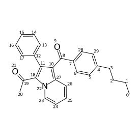 CCCCc1ccc(C(=O)c2c(-c3ccccc3)c(C(C)=O)n3ccccc23)cc1